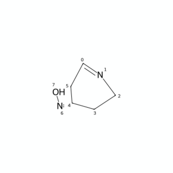 C1=NCCCC1.[N]O